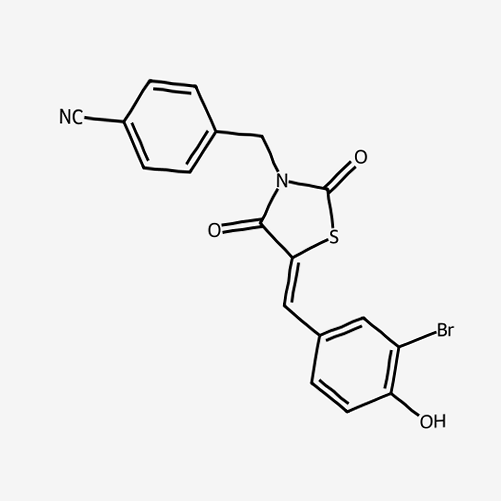 N#Cc1ccc(CN2C(=O)S/C(=C\c3ccc(O)c(Br)c3)C2=O)cc1